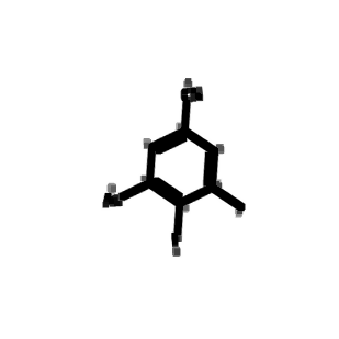 CC(=O)c1cc(C#N)cc(C)c1F